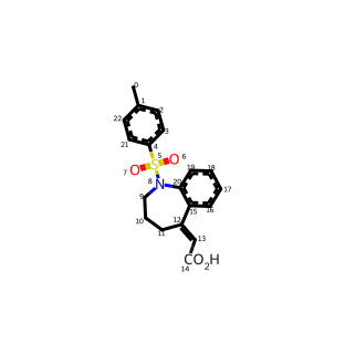 Cc1ccc(S(=O)(=O)N2CCC/C(=C\C(=O)O)c3ccccc32)cc1